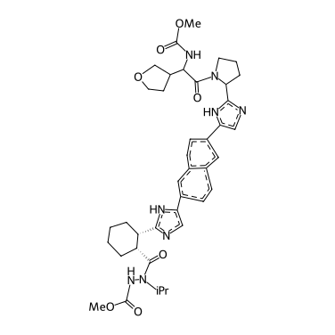 COC(=O)NC(C(=O)N1CCCC1c1ncc(-c2ccc3cc(-c4cnc([C@H]5CCCC[C@H]5C(=O)N(NC(=O)OC)C(C)C)[nH]4)ccc3c2)[nH]1)C1CCOC1